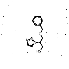 SCC(COCc1ccccc1)n1ccnn1